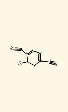 C#CC1=CC=C(C#N)CC1C